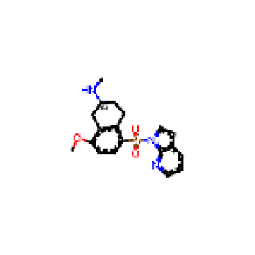 CN[C@H]1CCc2c(S(=O)(=O)n3ccc4cccnc43)ccc(OC)c2C1